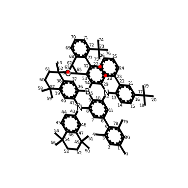 Cc1cc(C)c(-c2cc3c4c(c2)N(c2ccc(C(C)(C)C)cc2-c2ccccc2)c2ccc5c(c2B4c2cc4c(cc2N3c2ccc3c(c2)C(C)(C)CCC3(C)C)C(C)(C)CCC4(C)C)C2OC2c2cccc(C(C)(C)C)c2-5)c(C)c1